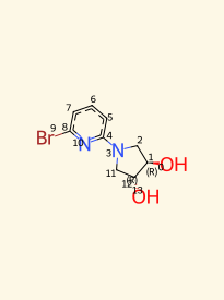 O[C@@H]1CN(c2cccc(Br)n2)C[C@H]1O